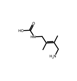 CC(CN)=C(C)CNC(=O)O